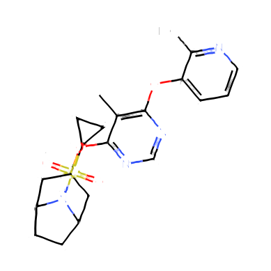 Cc1c(Oc2cccnc2C(F)(F)F)ncnc1OC1CC2CCC(C1)N2S(=O)(=O)C1CC1